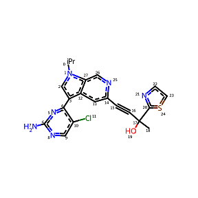 CC(C)n1cc(-c2nc(N)ncc2Cl)c2cc(C#CC(C)(O)c3nccs3)ncc21